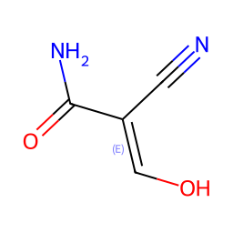 N#C/C(=C\O)C(N)=O